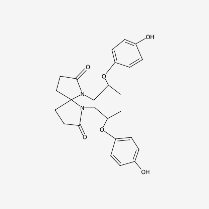 CC(CN1C(=O)CCC12CCC(=O)N2CC(C)Oc1ccc(O)cc1)Oc1ccc(O)cc1